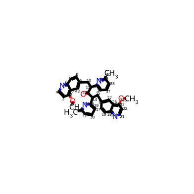 COc1ccnc2ccc(CC(C(=O)C(Cc3ccc4nccc(OC)c4c3)c3cccc(C)n3)c3cccc(C)n3)cc12